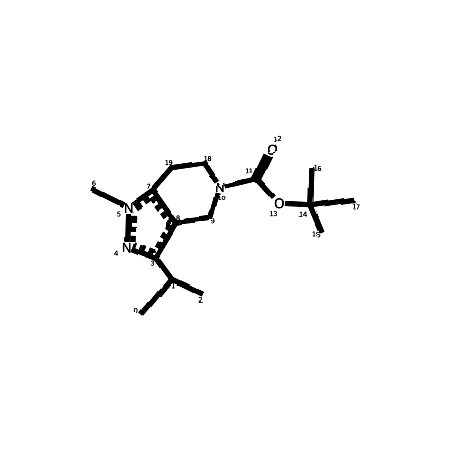 CC(C)c1nn(C)c2c1CN(C(=O)OC(C)(C)C)CC2